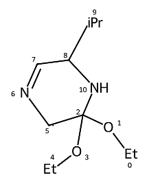 CCOC1(OCC)[CH]N=CC(C(C)C)N1